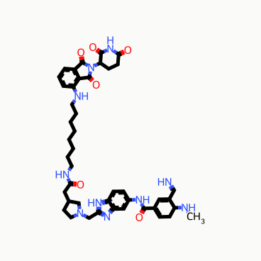 CNC1CC=C(C(=O)Nc2ccc3[nH]c(CN4CCC(CC(=O)NCCCCCCCCNc5cccc6c5C(=O)N(C5CCC(=O)NC5=O)C6=O)C4)nc3c2)C=C1C=N